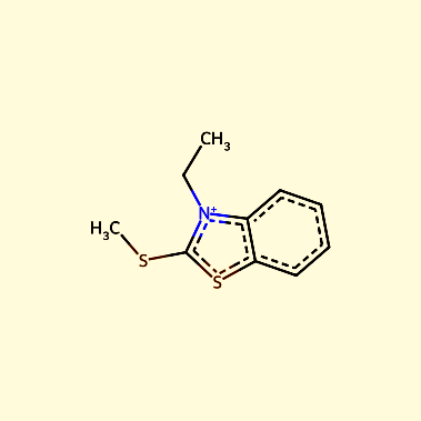 CC[n+]1c(SC)sc2ccccc21